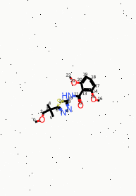 COCC(C)(C)c1nnc(NC(=O)c2c(OC)cccc2OC)s1